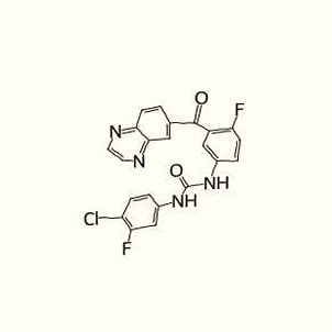 O=C(Nc1ccc(Cl)c(F)c1)Nc1ccc(F)c(C(=O)c2ccc3nccnc3c2)c1